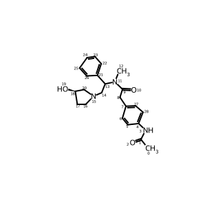 CC(=O)Nc1ccc(CC(=O)N(C)C(CN2CC[C@@H](O)C2)c2ccccc2)cc1